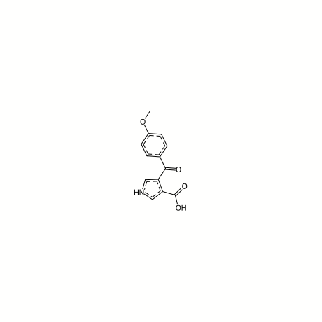 COc1ccc(C(=O)c2c[nH]cc2C(=O)O)cc1